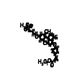 CCOC(=O)[C@H]1C[C@@H]1c1ccc(O[C@@H]2CCc3c(-c4c(C)cc(OCCCCS(C)(=O)=O)cc4C)ccc(F)c32)cc1